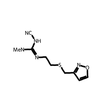 CNC(=NCCSCc1ccon1)NC#N